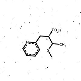 CC(SI)[C@@H](Cc1ccccn1)C(=O)O